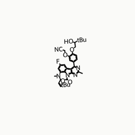 C=CCN(C)c1cc(F)cc2c3c(-c4ccc(OCC(O)C(C)(C)C)c(OCC#N)c4)nc(C)nc3n(C(=O)OC(C)(C)C)c12